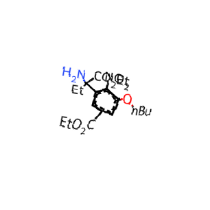 CCCCOc1cc(C(=O)OCC)cc(C(N)(CC)C(=O)OCC)c1[N+](=O)[O-]